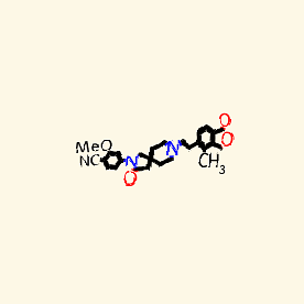 COc1cc(N2CC3(CCN(CCc4ccc5c(c4C)COC5=O)CC3)CC2=O)ccc1C#N